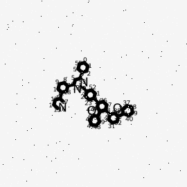 c1ccc(-c2cc(-c3cccc(-c4cccnc4)c3)nc(-c3ccc(-c4ccc(-c5cccc6c5oc5ccccc56)c5c4oc4ccccc45)cc3)n2)cc1